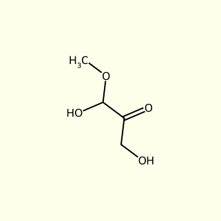 COC(O)C(=O)CO